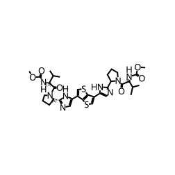 COC(=O)N[C@H](C(=O)N1CCCC1c1ncc(-c2csc3c(-c4cnc([C@@H]5CCCN5C(=O)[C@@H](NC(=O)OC)C(C)C)[nH]4)csc23)[nH]1)C(C)C